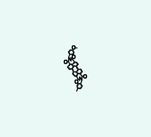 COc1ccc(CN2C(=O)c3ccc4c5ccc6c7c(ccc(c8ccc(c3c48)C2=O)c75)C(=O)N(Cc2ccc(C)cc2)C6=O)cc1